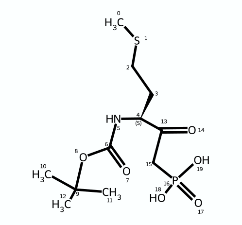 CSCC[C@H](NC(=O)OC(C)(C)C)C(=O)CP(=O)(O)O